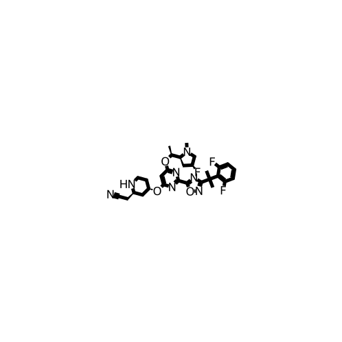 C[C@H](Oc1cc(O[C@H]2CCN[C@H](CC#N)C2)nc(-c2nc(C(C)(C)c3c(F)cccc3F)no2)n1)[C@@H]1C[C@H](F)CN1C